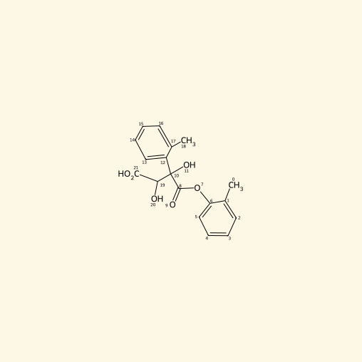 Cc1ccccc1OC(=O)C(O)(c1ccccc1C)C(O)C(=O)O